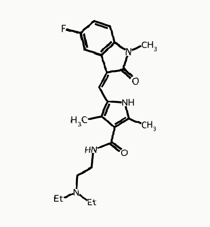 CCN(CC)CCNC(=O)c1c(C)[nH]c(/C=C2\C(=O)N(C)c3ccc(F)cc32)c1C